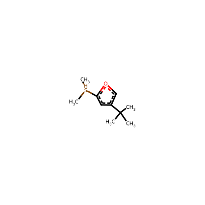 C[SH](C)c1cc(C(C)(C)C)co1